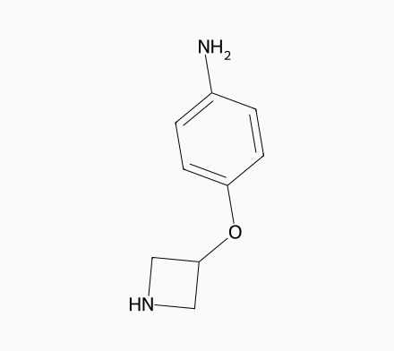 Nc1ccc(OC2CNC2)cc1